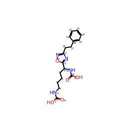 O=C(O)NCCCCC(NC(=O)O)c1nc(CCc2ccccc2)no1